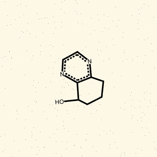 OC1CCCc2nccnc21